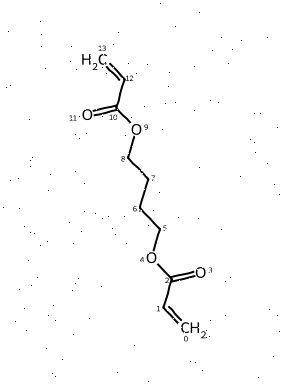 C=CC(=O)OC[CH]CCOC(=O)C=C